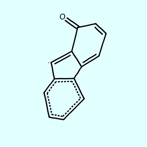 O=C1C=CC=C2C1=[C]c1ccccc12